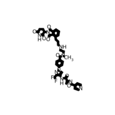 CN(CCNCCCc1cccc2c1C(=O)N(C1CCC(=O)NC1=O)C2=O)C(=O)c1ccc(-n2cc(NC(=O)c3coc(-c4ccncc4)n3)c(C(F)F)n2)cc1